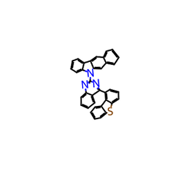 c1ccc2cc3c(cc2c1)c1ccccc1n3-c1nc(-c2cccc3sc4ccccc4c23)c2ccccc2n1